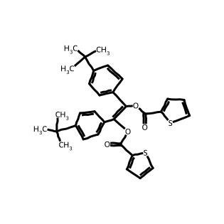 CC(C)(C)c1ccc(C(OC(=O)c2cccs2)=C(OC(=O)c2cccs2)c2ccc(C(C)(C)C)cc2)cc1